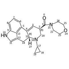 O=C([C@@H]1C=C2c3cccc4[nH]cc(c34)C[C@H]2N(C2CC2)C1)N1CCOCC1